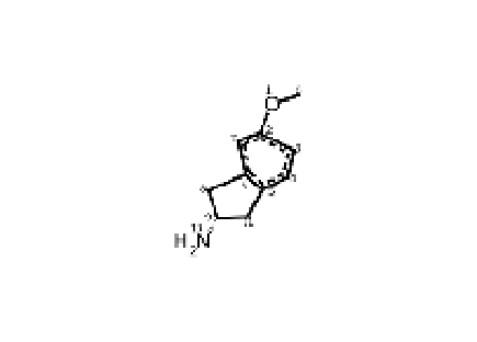 COc1ccc2c(c1)C[C@@H](N)C2